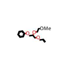 C=CCOCC(COc1ccccc1)OCCOC